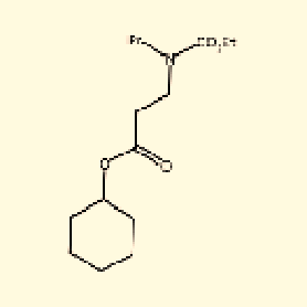 CCOC(=O)N(CCC(=O)OC1CCCCC1)C(C)C